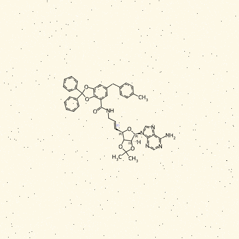 Cc1ccc(Cc2cc3c(c(C(=O)NC/C=C/[C@H]4O[C@@H](n5cnc6c(N)ncnc65)[C@H]5OC(C)(C)OC45)c2)OC(c2ccccc2)(c2ccccc2)O3)cc1